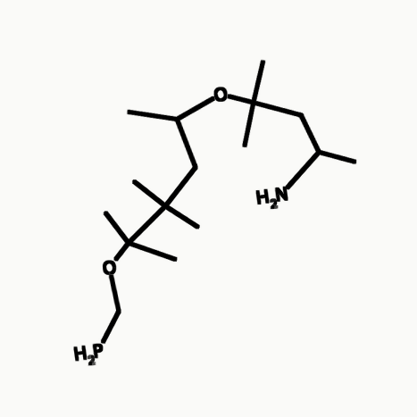 CC(N)CC(C)(C)OC(C)CC(C)(C)C(C)(C)OCP